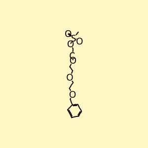 CS(=O)(=O)OCCOCCOCCOCc1ccccc1